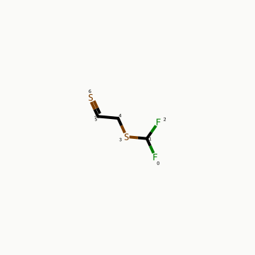 FC(F)SC[C]=S